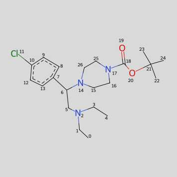 CCN(CC)CC(c1ccc(Cl)cc1)N1CCN(C(=O)OC(C)(C)C)CC1